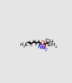 C=C(C)C(=O)OC(N)CCCCCC